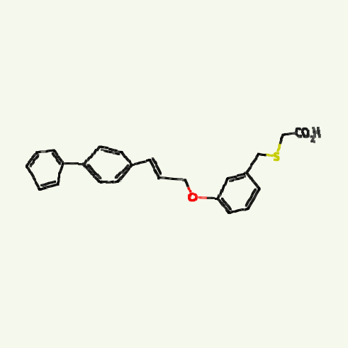 O=C(O)CSCc1cccc(OC/C=C/c2ccc(-c3ccccc3)cc2)c1